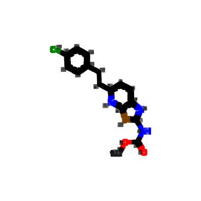 CC(C)(C)OC(=O)Nc1nc2ccc(CCc3ccc(Cl)cc3)nc2s1